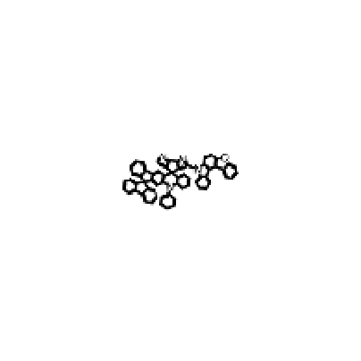 c1ccc(N2c3ccccc3C3(c4cc5c(cc42)C2(c4ccccc4-c4ccccc42)c2ccccc2-5)c2cccnc2-c2ncc(-n4c5ccccc5c5c6c(ccc54)oc4ccccc46)cc23)cc1